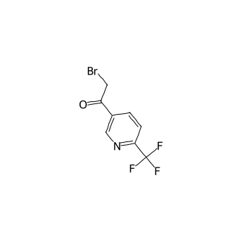 O=C(CBr)c1ccc(C(F)(F)F)nc1